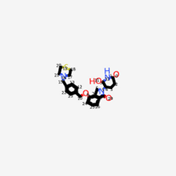 O=C1CCC(N2Cc3c(OCc4ccc(CN5CCSCC5)cc4)cccc3C2=O)C(O)N1